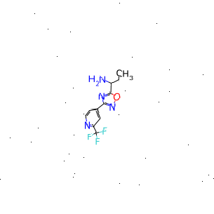 CCC(N)c1nc(-c2ccnc(C(F)(F)F)c2)no1